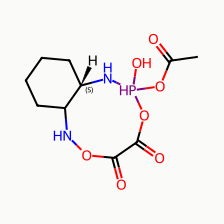 CC(=O)O[PH]1(O)N[C@H]2CCCCC2NOC(=O)C(=O)O1